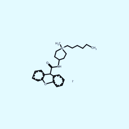 CCCCCC[N+]1(C)CCC(NC(=O)C2c3ccccc3Oc3ccccc32)CC1.[I-]